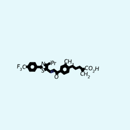 C=C(CCCc1ccc(C(=O)/C=C/c2sc(-c3ccc(C(F)(F)F)cc3)nc2C(C)C)cc1C)C(=O)O